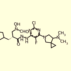 CN(C)C1CN(c2nc(Cl)nc(NNC(=O)[C@H](CC3CCCC3)CN(O)C=O)c2F)CC12CC2